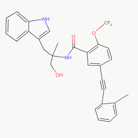 Cc1ccccc1C#Cc1ccc(OC(F)(F)F)c(C(=O)NC(C)(CO)Cc2c[nH]c3ccccc23)c1